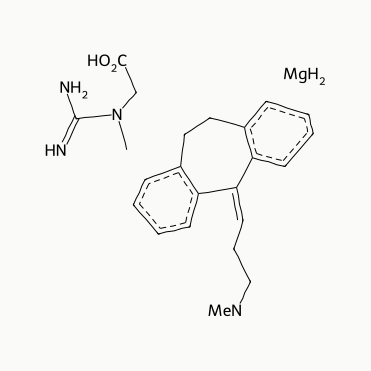 CN(CC(=O)O)C(=N)N.CNCCC=C1c2ccccc2CCc2ccccc21.[MgH2]